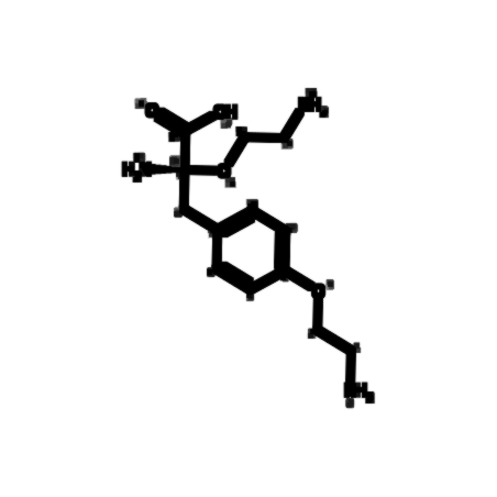 NCCOc1ccc(C[C@](N)(OCCN)C(=O)O)cc1